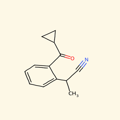 CC(C#N)c1ccccc1C(=O)C1CC1